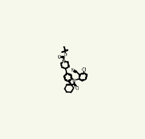 CC(C)(C)OC(=O)N1CCC(c2ccc3c(c2)N(c2cccc(Cl)c2C#N)C(=O)C32CCCCC2)CC1